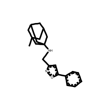 CC12CC3CC(C1)CC(NCc1cc(-c4ccccc4)on1)(C3)C2